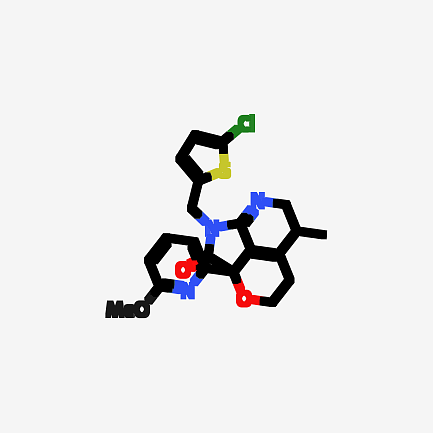 COc1cccc(C23OCCC4=C2C(=NCC4C)N(Cc2ccc(Cl)s2)C3=O)n1